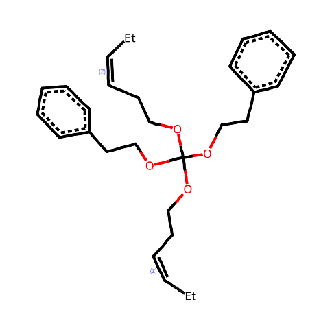 CC/C=C\CCOC(OCC/C=C\CC)(OCCc1ccccc1)OCCc1ccccc1